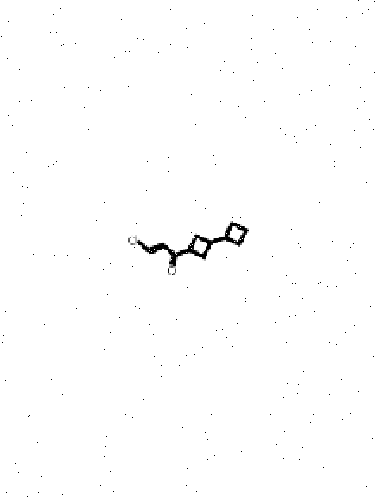 O=C(C=CCl)C1CC(C2CCC2)C1